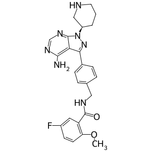 COc1ccc(F)cc1C(=O)NCc1ccc(-c2nn([C@@H]3CCCNC3)c3ncnc(N)c23)cc1